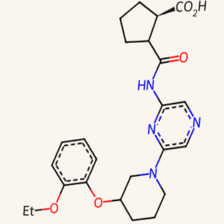 CCOc1ccccc1OC1CCCN(c2cncc(NC(=O)C3CCC[C@H]3C(=O)O)n2)C1